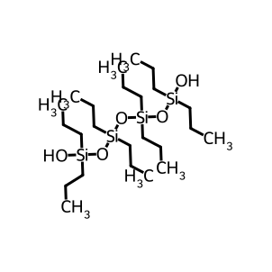 CCC[Si](O)(CCC)O[Si](CCC)(CCC)O[Si](CCC)(CCC)O[Si](O)(CCC)CCC